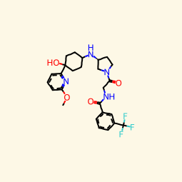 COc1cccc(C2(O)CCC(N[C@H]3CCN(C(=O)CNC(=O)c4cccc(C(F)(F)F)c4)C3)CC2)n1